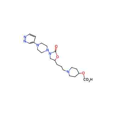 O=C(O)OC1CCN(CCCC2CN(N3CCN(c4ccnnc4)CC3)C(=O)O2)CC1